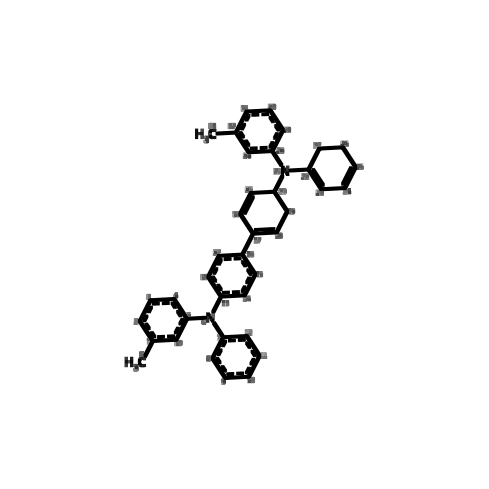 Cc1cccc(N(c2ccccc2)c2ccc(C3=CCC(N(C4=CC=CCC4)c4cccc(C)c4)C=C3)cc2)c1